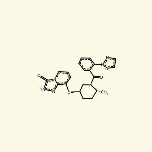 C[C@@H]1CC[C@@H](Oc2cccn3c(=O)[nH]nc23)CN1C(=O)c1ccccc1-n1nccn1